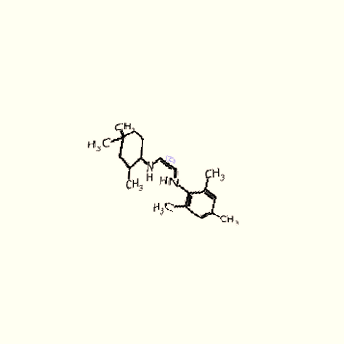 Cc1cc(C)c(N/C=C\NC2CCC(C)(C)CC2C)c(C)c1